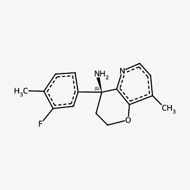 Cc1ccc([C@@]2(N)CCOc3c(C)ccnc32)cc1F